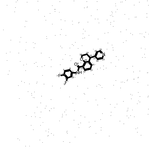 O=C(Nc1ccc(F)c(F)c1)c1cccc2c1OCCC2c1ccncc1